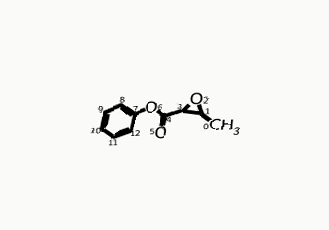 CC1OC1C(=O)Oc1ccccc1